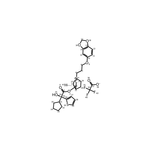 O=C(O[C@H]1C[N+]2(CCCOc3ccc4c(c3)OCO4)CCC1CC2)[C@](O)(c1cccs1)C1CCCC1.O=C([O-])C(F)(F)F